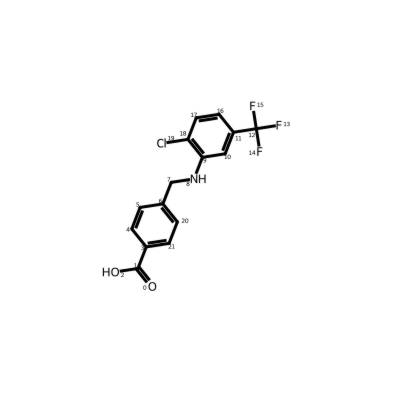 O=C(O)c1ccc(CNc2cc(C(F)(F)F)ccc2Cl)cc1